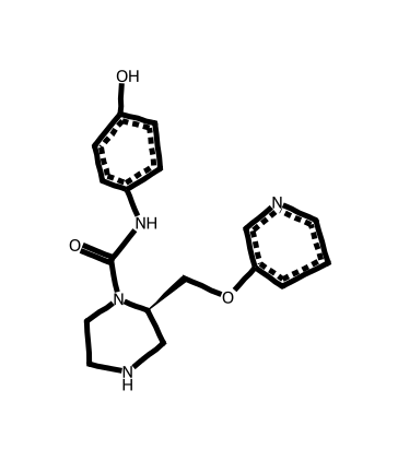 O=C(Nc1ccc(O)cc1)N1CCNC[C@@H]1COc1cccnc1